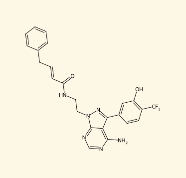 Nc1ncnc2c1c(-c1ccc(C(F)(F)F)c(O)c1)nn2CCNC(=O)C=CCc1ccccc1